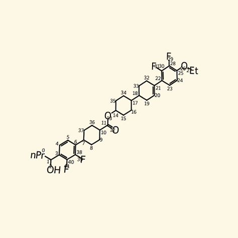 CCCC(O)c1ccc(C2CCC(C(=O)OC3CCC(C4CC=C(c5ccc(OCC)c(F)c5F)CC4)CC3)CC2)c(F)c1F